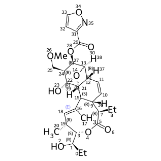 CC[C@@H](O)[C@H]1OC(=O)[C@H](CC)[C@H]2C=C[C@H]3[C@H]4O[C@]2(/C(C)=C/[C@H]1C)[C@@H]3[C@H](O)[C@@H](COC)[C@H]4OC(=O)c1ccon1